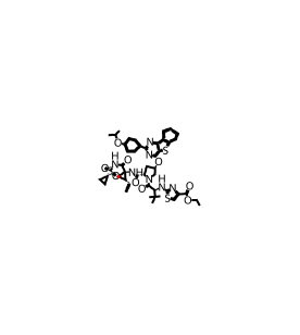 C=C[C@@H]1C[C@]1(NC(=O)[C@@H]1C[C@@H](Oc2nc(-c3ccc(OC(C)C)cc3)nc3c2sc2ccccc23)CN1C(=O)[C@@H](Nc1nc(C(=O)OCC)cs1)C(C)(C)C)C(=O)NS(=O)(=O)C1CC1